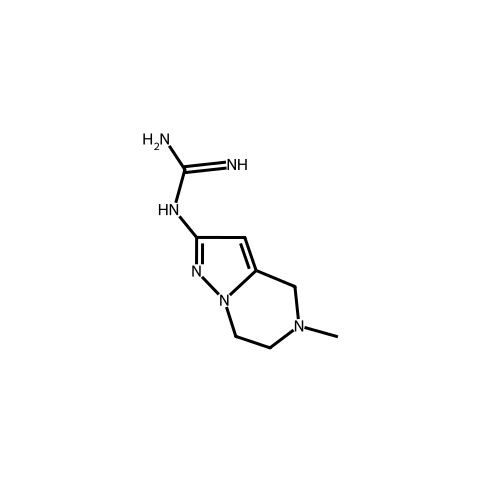 CN1CCn2nc(NC(=N)N)cc2C1